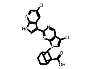 O=C(O)C1C2CCC(CC2)C1n1cc(Cl)c2cnc(-c3c[nH]c4ncc(Cl)cc34)nc21